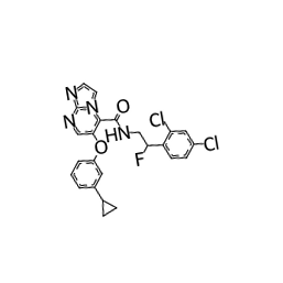 O=C(NCC(F)c1ccc(Cl)cc1Cl)c1c(Oc2cccc(C3CC3)c2)cnc2nccn12